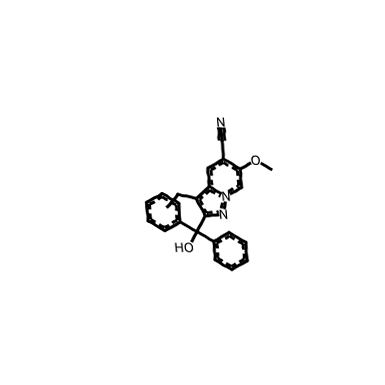 CCc1c(C(O)(c2ccccc2)c2ccccc2)nn2cc(OC)c(C#N)cc12